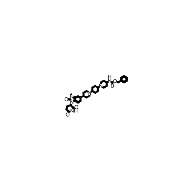 Cn1c(=O)n(C2CCC(=O)NC2=O)c2ccc(C3CCN(C4CCC(N5CCC(NC(=O)OCc6ccccc6)CC5)CC4)CC3)cc21